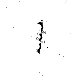 O=C(CC(=O)NCCC1CO1)NCCC1CO1